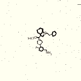 Cl.NCc1ccc(F)c(C2CCN(C(=O)c3cn(CCc4ccccc4)c4ccccc34)CC2)c1